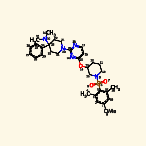 COc1cc(C)c(S(=O)(=O)N2CCCC(Oc3ccnc(N4CCC(c5ccccc5)(N(C)C)CC4)n3)C2)c(C)c1